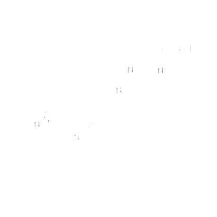 CN(C(=O)CO)C1CCN(Cc2ccc3cc(Oc4ccc(-c5ccn[nH]5)cn4)ccc3n2)CC1